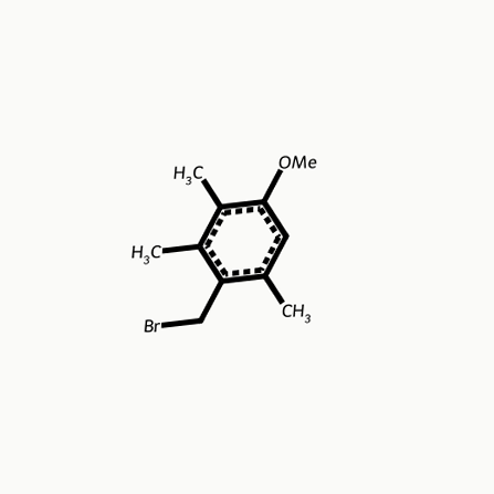 COc1cc(C)c(CBr)c(C)c1C